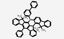 CC1(C)c2ccccc2-c2c(-c3ccccc3)c3c4c(c21)N(c1cccc(-c2ccccc2)c1)c1ccc2c(c1C4(C)c1ccccc1-3)C(C)(C)c1ccccc1-2